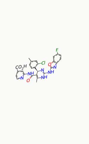 CC1=C(C(=O)Nc2cc(C(=O)O)ccn2)[C@@H](c2ccc(C)cc2Cl)N=C(Nc2nc3ccc(F)cc3o2)N1